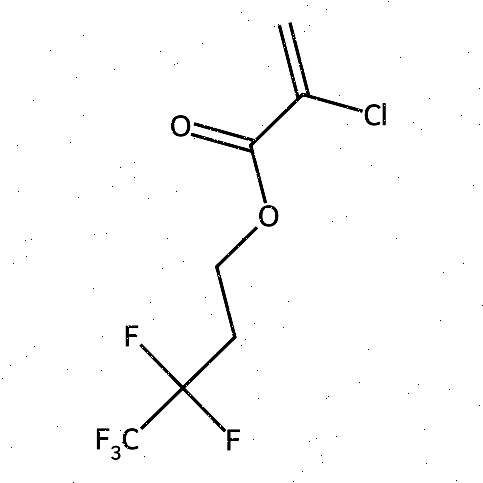 C=C(Cl)C(=O)OCCC(F)(F)C(F)(F)F